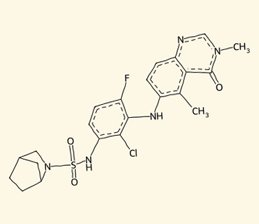 Cc1c(Nc2c(F)ccc(NS(=O)(=O)N3CC4CCC3C4)c2Cl)ccc2ncn(C)c(=O)c12